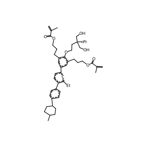 C=C(C)C(=O)OCCCc1cc(-c2ccc(-c3ccc(C4CCC(C)CC4)cc3)c(CC)c2)cc(CCCOC(=O)C(=C)C)c1OCCC(CO)(CO)CCC